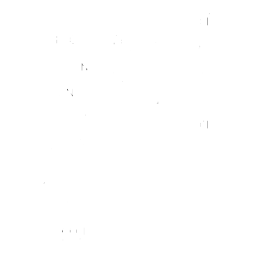 CN1N=C(c2ccc(C(=O)O)cc2)CC1(c1cc(Cl)cc(Cl)c1)C(F)(F)F